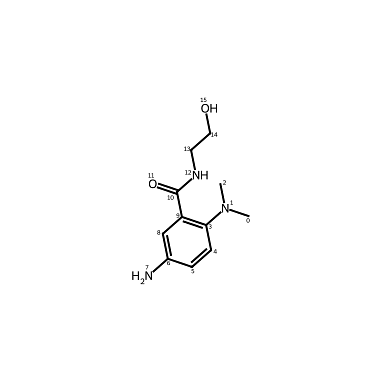 CN(C)c1ccc(N)cc1C(=O)NCCO